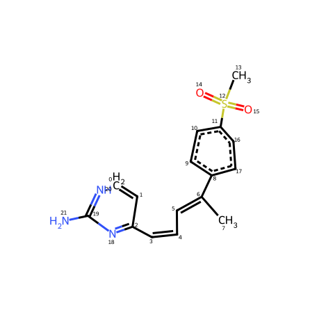 C=CC(/C=C\C=C(/C)c1ccc(S(C)(=O)=O)cc1)=N\C(=N)N